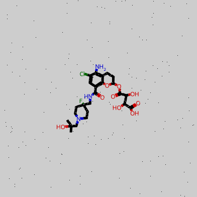 CC(C)(O)CN1CCC(F)(CNC(=O)c2cc(Cl)c(N)c3c2OC(OC(=O)C(O)C(O)C(=O)O)CC3)CC1